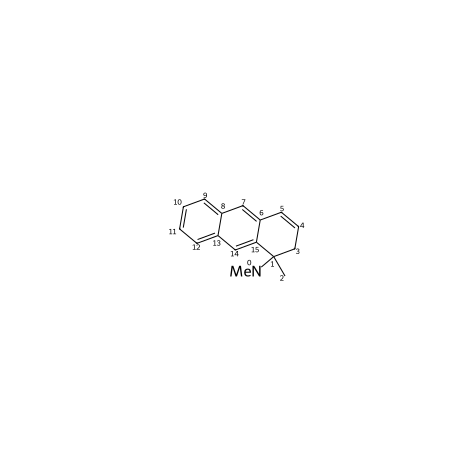 CNC1(C)CC=Cc2cc3ccccc3cc21